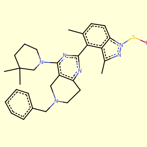 Cc1ccc2c(c(C)nn2SI)c1-c1nc2c(c(N3CCCC(C)(C)C3)n1)CN(Cc1ccccc1)CC2